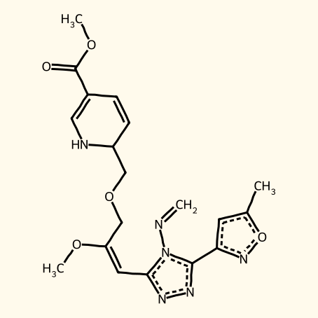 C=Nn1c(/C=C(\COCC2C=CC(C(=O)OC)=CN2)OC)nnc1-c1cc(C)on1